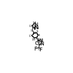 FC(F)c1nnc(-c2ccc(Cn3ccnn3)cc2)o1